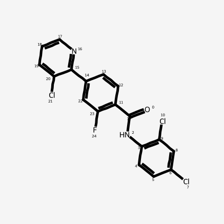 O=C(Nc1ccc(Cl)cc1Cl)c1ccc(-c2ncccc2Cl)cc1F